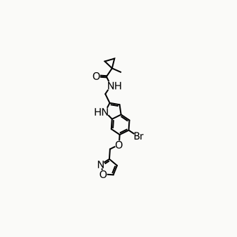 CC1(C(=O)NCc2cc3cc(Br)c(OCc4ccon4)cc3[nH]2)CC1